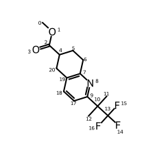 COC(=O)C1CCc2nc(C(C)(C)C(F)(F)F)ccc2C1